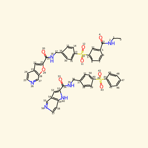 CCNC(=O)c1cccc(S(=O)(=O)c2ccc(CNC(=O)c3cc4ccncc4o3)cc2)c1.O=C(NCc1ccc(S(=O)(=O)c2ccccc2)cc1)c1cc2cnccc2[nH]1